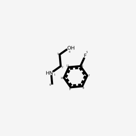 CNCCO.Fc1ccccc1